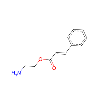 NCCOC(=O)C=Cc1ccccc1